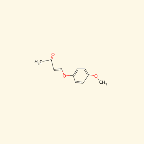 COc1ccc(OC=CC(C)=O)cc1